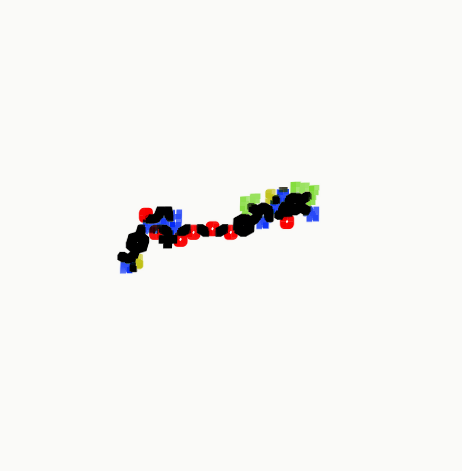 Cc1ncsc1-c1ccc(CNC(=O)C2CCCN2C(=O)C(NC(=O)COCCOCCOc2ccc(-c3ncc(N(C(=S)N(C)c4ccc(C#N)c(C(F)(F)F)c4F)C(C)(C)C=O)cc3C(F)(F)F)cc2)C(C)(C)C)cc1